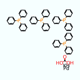 O=C(O)O.[KH].[Pd].c1ccc(P(c2ccccc2)c2ccccc2)cc1.c1ccc(P(c2ccccc2)c2ccccc2)cc1.c1ccc(P(c2ccccc2)c2ccccc2)cc1.c1ccc(P(c2ccccc2)c2ccccc2)cc1